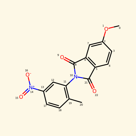 COc1ccc2c(c1)C(=O)N(c1cc([N+](=O)[O-])ccc1C)C2=O